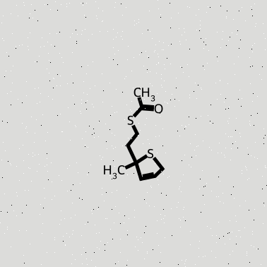 CC(=O)SCCC1(C)C=CCS1